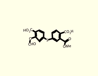 COC(=O)c1cc(Sc2ccc(C(=O)O)c(OC=O)c2)ccc1C(=O)O